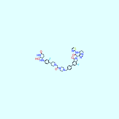 O=C1CCC(Nc2ccc(C3CCN(CC(=O)N4CCN(Cc5ccc(-c6cc(F)c7c(c6)C(=O)N(C(C(=O)Nc6nccs6)c6ncn8c6CCC8)C7)cc5)CC4)CC3)c(F)c2)C(O)N1